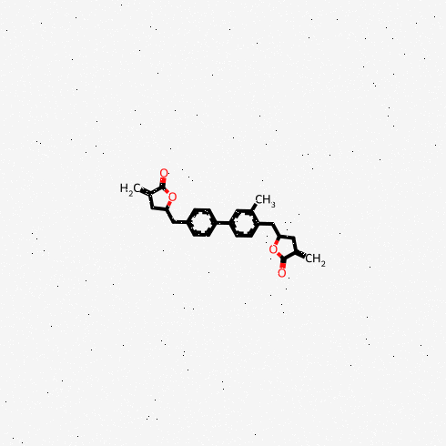 C=C1CC(Cc2ccc(-c3ccc(CC4CC(=C)C(=O)O4)c(C)c3)cc2)OC1=O